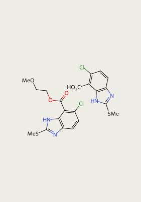 COCCOC(=O)c1c(Cl)ccc2nc(SC)[nH]c12.CSc1nc2ccc(Cl)c(C(=O)O)c2[nH]1